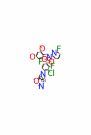 COc1ccc(CN(c2cccc(F)n2)S(=O)(=O)c2c(F)cc(N3C[C@H](CN(C)C)[C@@H](OC)C3)c(Cl)c2F)c(OC)c1